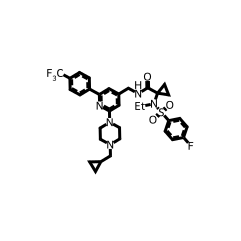 CCN(C1(C(=O)NCc2cc(-c3ccc(C(F)(F)F)cc3)nc(N3CCN(CC4CC4)CC3)c2)CC1)S(=O)(=O)c1ccc(F)cc1